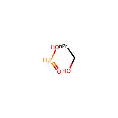 CCCCO.O=[PH2]O